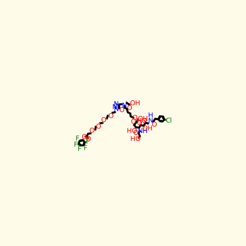 O=C(O)CN(Cc1cn(CCOCCOCCOCCOCCC(=O)Oc2c(F)c(F)c(F)c(F)c2F)nn1)C(=O)CCCCCO[C@@]1(C(=O)O)C[C@@H](O)[C@H](NC(=O)CO)[C@@H]([C@@H](O)[C@@H](O)CNC(=O)Cc2ccc(Cl)cc2)O1